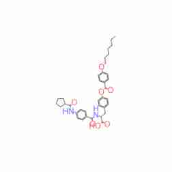 CCCCCCCOc1ccc(C(=O)Oc2ccc(C[C@H](NC(=O)c3ccc(NC(=O)C4CCCC4)cc3)C(=O)O)cc2)cc1